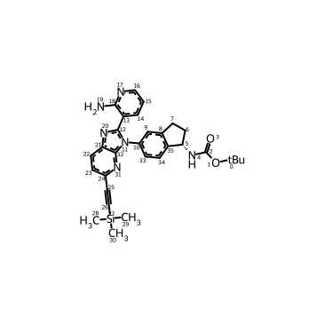 CC(C)(C)OC(=O)N[C@H]1CCc2cc(-n3c(-c4cccnc4N)nc4ccc(C#C[Si](C)(C)C)nc43)ccc21